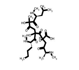 CCCC[C@H](NC)C(=O)C(O)(CC(=O)C(C)(O)C(=O)[C@H](CC(C)C)NC)C(=O)C(O)(CC(=O)[C@H](C)NC)C(=O)O